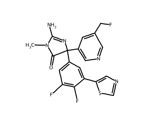 CN1C(=O)C(c2cncc(CF)c2)(c2cc(F)c(F)c(-c3cncs3)c2)N=C1N